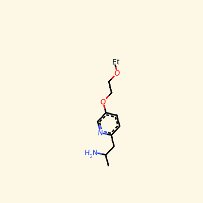 CCOCCOc1ccc(CC(C)N)nc1